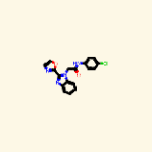 O=C(Cn1c(-c2ncco2)nc2ccccc21)Nc1ccc(Cl)cc1